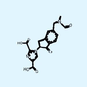 CN(C=O)Cc1ccc2c(c1)CC(n1cc(C(=O)O)nc1C(=O)O)C2=O